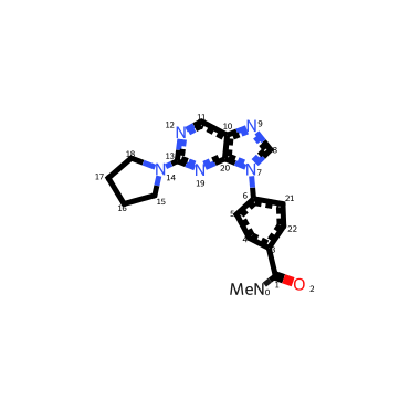 CNC(=O)c1ccc(-n2cnc3cnc(N4CCCC4)nc32)cc1